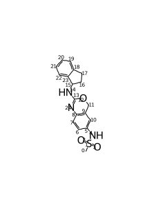 CS(=O)(=O)Nc1ccc2c(c1)COC(NC1CCc3ccccc31)=N2